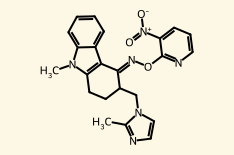 Cc1nccn1CC1CCc2c(c3ccccc3n2C)C1=NOc1ncccc1[N+](=O)[O-]